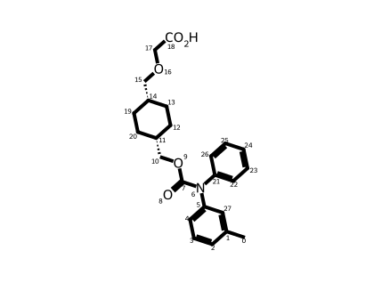 Cc1cccc(N(C(=O)OC[C@H]2CC[C@@H](COCC(=O)O)CC2)c2ccccc2)c1